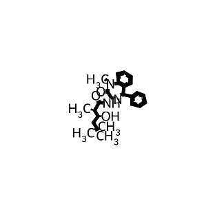 C[C@@H](C(=O)NC1N=C(c2ccccc2)c2ccccc2N(C)C1=O)[C@@H](O)CC(C)(C)C